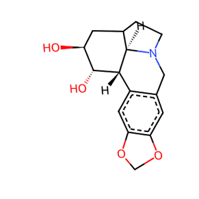 O[C@H]1[C@H]2c3cc4c(cc3CN3CCC(C[C@@H]1O)[C@H]23)OCO4